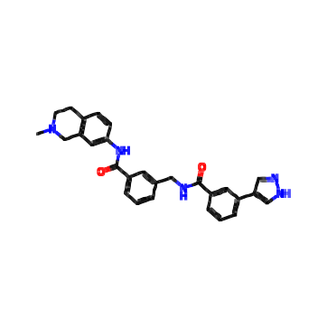 CN1CCc2ccc(NC(=O)c3cccc(CNC(=O)c4cccc(-c5cn[nH]c5)c4)c3)cc2C1